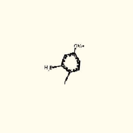 Bc1cc(OC)ccc1I